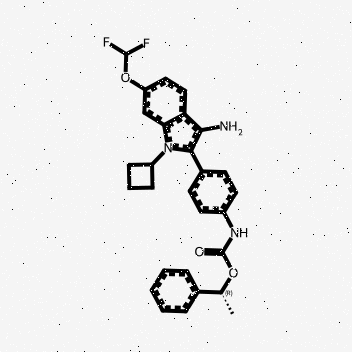 C[C@@H](OC(=O)Nc1ccc(-c2c(N)c3ccc(OC(F)F)cc3n2C2CCC2)cc1)c1ccccc1